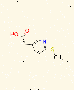 CSc1ccc(CC(=O)O)cn1